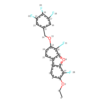 CCOc1ccc2c(oc3c(F)c(OCc4cc(F)c(F)c(F)c4)ccc32)c1F